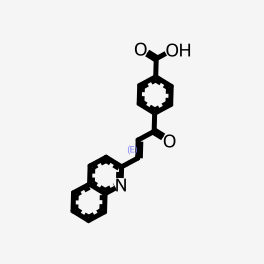 O=C(O)c1ccc(C(=O)/C=C/c2ccc3ccccc3n2)cc1